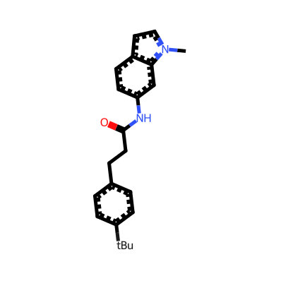 Cn1ccc2ccc(NC(=O)CCc3ccc(C(C)(C)C)cc3)cc21